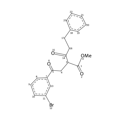 COC(=O)C(CC(=O)c1cccc(Br)c1)C(=O)CCc1ccccc1